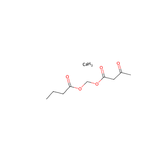 CCCC(=O)OCOC(=O)CC(C)=O.[CaH2]